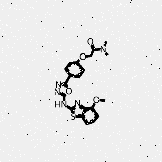 COc1cccc2sc(Nc3nnc(-c4ccc(OCC(=O)N(C)C)cc4)o3)nc12